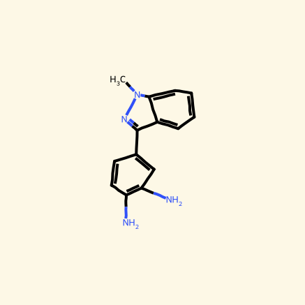 Cn1nc(-c2ccc(N)c(N)c2)c2ccccc21